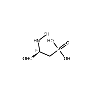 [2H]N[C@H]([C]=O)CP(=O)(O)O